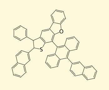 c1ccc(C2c3cc4c(oc5ccccc54)c(-c4c5ccccc5c(-c5ccc6ccccc6c5)c5ccccc45)c3SC2c2ccc3ccccc3c2)cc1